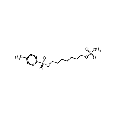 Cc1ccc(S(=O)(=O)OCCCCCCCOS(N)(=O)=O)cc1